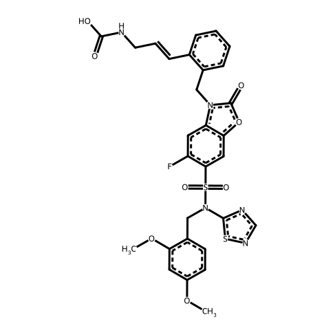 COc1ccc(CN(c2ncns2)S(=O)(=O)c2cc3oc(=O)n(Cc4ccccc4/C=C/CNC(=O)O)c3cc2F)c(OC)c1